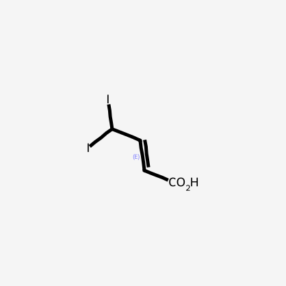 O=C(O)/C=C/C(I)I